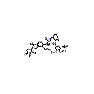 CCOc1cc(Nc2ncccc2/C=C/C(=O)Nc2ccc3c(c2NC)CN(C2CCC(=O)NC2=O)C3=O)cc(OC)c1OC